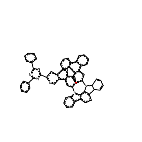 C1=CC2c3ccc4c5ccccc5n(-c5cc6c(cn5)ncc5cc(-c7nc(-c8ccccc8)nc(-c8ccccc8)n7)ncc56)c4c3N(c3ccc4c5ccccc5c5ccccc5c4c3)C2C=C1